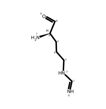 N=CNCCC[C@@H](N)C=O